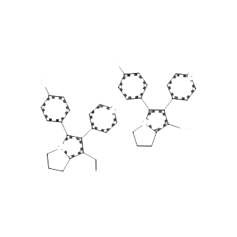 Cc1c(-c2ccncc2)c(-c2ccc(F)cc2)n2c1CCC2.OCc1c(-c2ccncc2)c(-c2ccc(F)cc2)n2c1CCC2